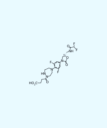 O=C(O)CCC(=O)N1CCN(c2c(F)cc(N3C[C@H](CNC(=O)C(F)F)OC3=O)cc2F)CCN1